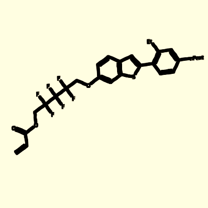 C=CC(=O)OCC(F)(F)C(F)(F)C(F)(F)COc1ccc2cc(-c3ccc(CCCCC)cc3CC)sc2c1